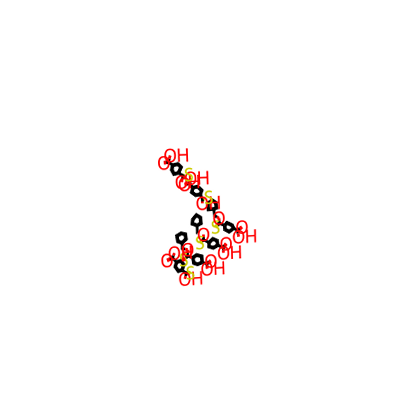 O=C(O)c1ccc(C(=S)OCc2ccccc2)cc1.O=C(O)c1ccc(C(=S)OCc2ccccc2)cc1.O=C(O)c1ccc(C(=S)OCc2ccccc2)cc1.O=C(O)c1ccc(C(O)=S)cc1.O=C(O)c1ccc(C(O)=S)cc1.O=C(O)c1ccc(C(O)=S)cc1